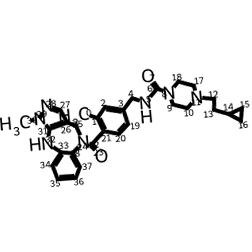 Cc1cc(CNC(=O)N2CCN(CCC3CC3)CC2)ccc1C(=O)N1Cc2cnn(C)c2Nc2ccccc21